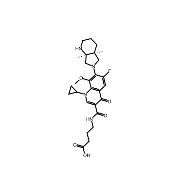 COc1c(N2C[C@]3(C)CCCN[C@]3(C)C2)c(F)cc2c(=O)c(C(=O)NCCCC(=O)O)cn(C3CC3)c12